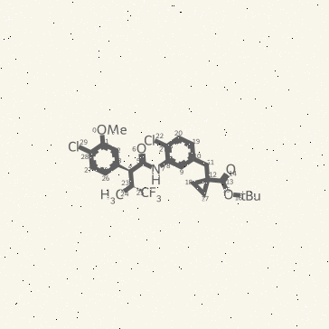 COc1cc([C@@H](C(=O)Nc2cc(CC3(C(=O)OC(C)(C)C)CC3)ccc2Cl)[C@@H](C)C(F)(F)F)ccc1Cl